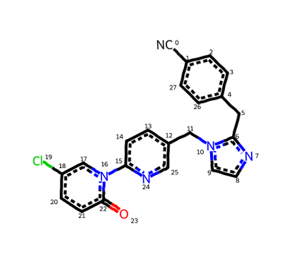 N#Cc1ccc(Cc2nccn2Cc2ccc(-n3cc(Cl)ccc3=O)nc2)cc1